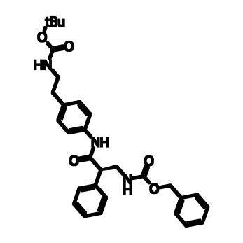 CC(C)(C)OC(=O)NCCc1ccc(NC(=O)[C@@H](CNC(=O)OCc2ccccc2)c2ccccc2)cc1